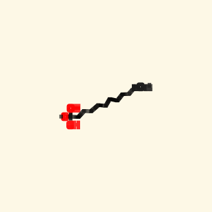 CCCCCCCCCCCCCCCCCC([O])(O)O